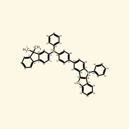 CC1(C)c2ccccc2-c2ccc(N(c3ccccc3)c3ccc(-c4ccc5c(c4)c4oc6ccccc6c4n5-c4ccccc4)cc3)cc21